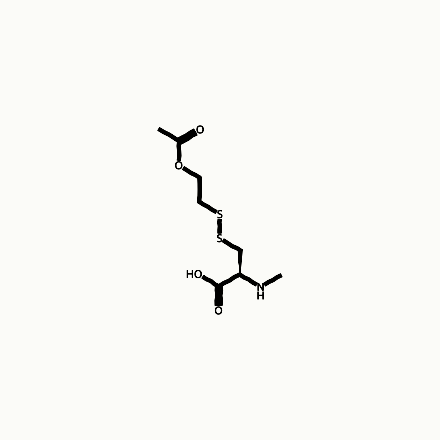 CN[C@H](CSSCCOC(C)=O)C(=O)O